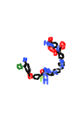 N#Cc1ccc(OC2CCC(F)(C(=O)Nc3ccc(N4CCC(CN5CCN(c6ccc7c(c6)C(=O)N(C6CCC(=O)NC6=O)C7=O)CC5)CC4)nn3)CC2)cc1Cl